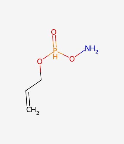 C=CCO[PH](=O)ON